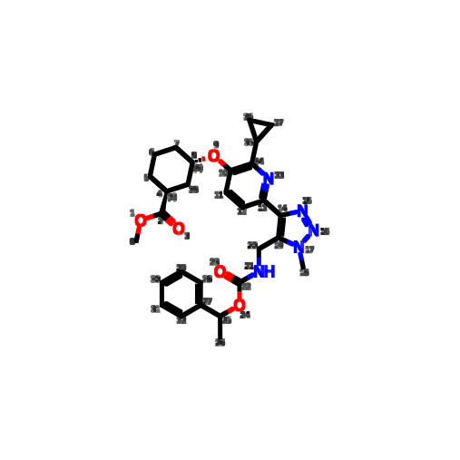 COC(=O)[C@H]1CCC[C@H](Oc2ccc(-c3nnn(C)c3CNC(=O)OC(C)c3ccccc3)nc2C2CC2)C1